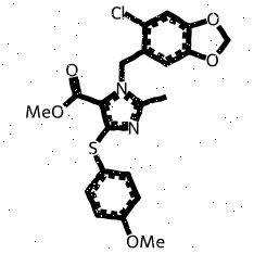 COC(=O)c1c(Sc2ccc(OC)cc2)nc(C)n1Cc1cc2c(cc1Cl)OCO2